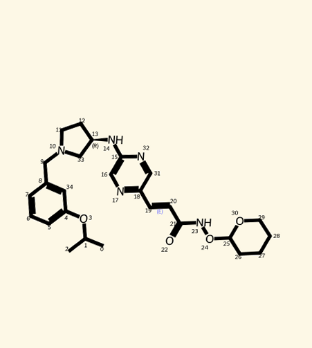 CC(C)Oc1cccc(CN2CC[C@@H](Nc3cnc(/C=C/C(=O)NOC4CCCCO4)cn3)C2)c1